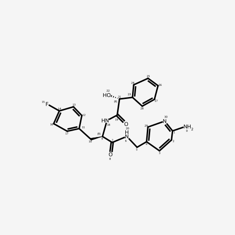 Nc1ccc(CNC(=O)[C@@H](Cc2ccc(F)cc2)NC(=O)[C@H](O)c2ccccc2)cn1